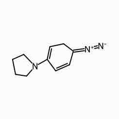 [N-]=[N+]=C1C=CC(N2CCCC2)=CC1